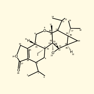 CC(C)C1C[C@@]2(C)[C@@H](CO[C@]3(C)C(C(C)C)[C@@]4(C(C)C)C[C@H]4[C@@H]4O[C@]423)C2=C1C(=O)OC2